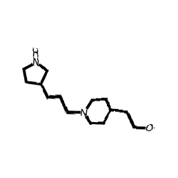 [O]CCC1CCN(CCCC2CCNC2)CC1